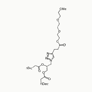 CCCCCCCCCCCC(=O)OCC(Cn1cc(CCC(=O)OCCOCCOCCOC)nn1)OC(=O)CCCCCCCCCCC